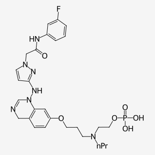 CCCN(CCCOc1ccc2c(c1)N(Nc1ccn(CC(=O)Nc3cccc(F)c3)n1)C=NC2)CCOP(=O)(O)O